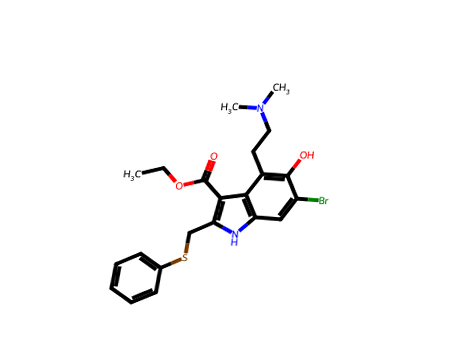 CCOC(=O)c1c(CSc2ccccc2)[nH]c2cc(Br)c(O)c(CCN(C)C)c12